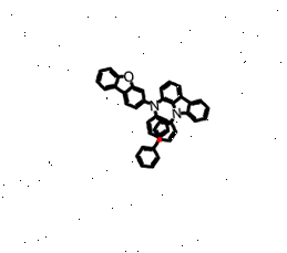 c1ccc(-c2ccc(-n3c4ccccc4c4cccc(N(c5ccccc5)c5ccc6c(c5)oc5ccccc56)c43)cc2)cc1